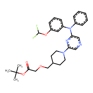 CC(C)(C)OC(=O)COCC1CCN(c2cncc(N(c3ccccc3)c3cccc(OC(F)F)c3)n2)CC1